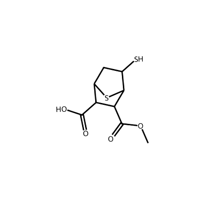 COC(=O)C1C2SC(CC2S)C1C(=O)O